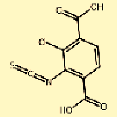 O=C(O)c1ccc(C(=O)O)c(N=C=S)c1Cl